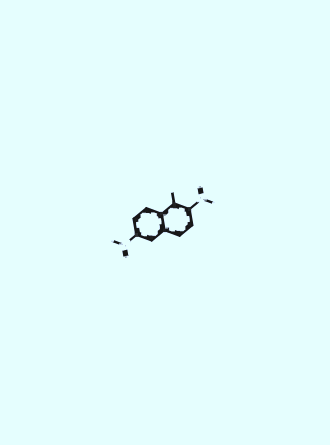 Cl.O=[N+]([O-])c1ccc2c(F)c([N+](=O)[O-])ccc2c1